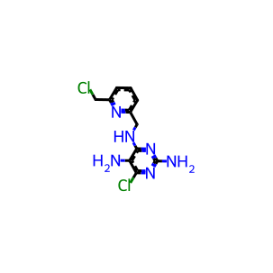 Nc1nc(Cl)c(N)c(NCc2cccc(CCl)n2)n1